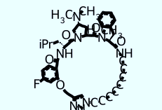 CC(C)C[C@H]1NC(=O)c2ccc(F)cc2OCc2cn(nn2)CCCCCCCCNC(=O)[C@H](Cc2ccccc2)N(C)C(=O)[C@H]2C[C@@H](N(C)C)CN2C1=O